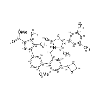 COC(=O)c1sc(-c2ccc(OC)c(-c3ccc(N4CCC4)nc3CN3C(=O)O[C@H](c4cc(C(F)(F)F)cc(C(F)(F)F)c4)[C@@H]3C)c2)c(C)c1C